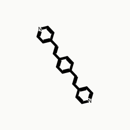 C(=C\c1ccc(/C=C/c2ccncc2)cc1)/c1ccncc1